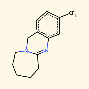 FC(F)(F)c1ccc2c(c1)N=C1CCCCCN1C2